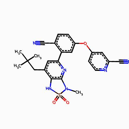 CN1c2nc(-c3cc(Oc4ccnc(C#N)c4)ccc3C#N)cc(CC(C)(C)C)c2NS1(=O)=O